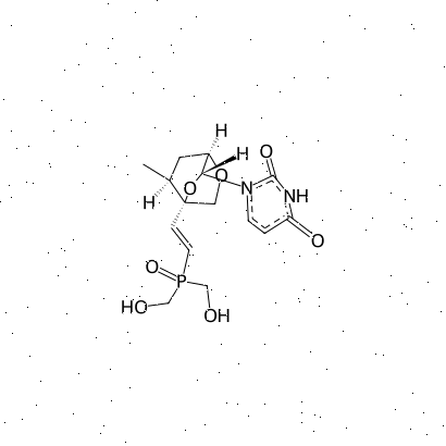 C[C@H]1C[C@H]2OC[C@]1(/C=C/P(=O)(CO)CO)O[C@H]2n1ccc(=O)[nH]c1=O